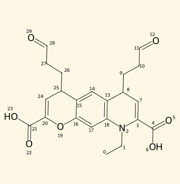 CCN1C(C(=O)O)=CC(CCC=O)c2cc3c(cc21)OC(C(=O)O)=CC3CCC=O